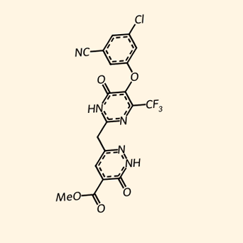 COC(=O)c1cc(Cc2nc(C(F)(F)F)c(Oc3cc(Cl)cc(C#N)c3)c(=O)[nH]2)n[nH]c1=O